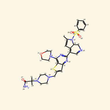 CC1=CC2=C(c3nc(N4CCOCC4)c4sc(CN5CCN(C(C)(C)C(N)=O)CC5)cc4n3)C=NCC2N1S(=O)(=O)c1ccccc1